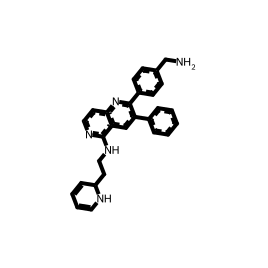 NCc1ccc(-c2nc3ccnc(NCCC4C=CC=CN4)c3cc2-c2ccccc2)cc1